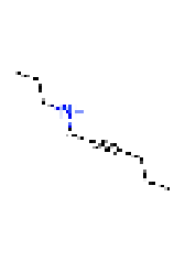 CCCC#C[CH]NCCC